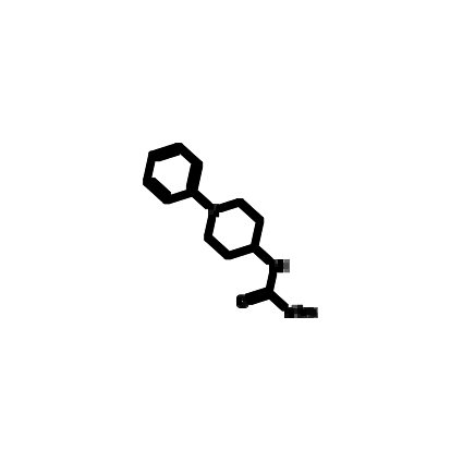 CCCCCCC(=O)NC1CCN(c2ccccc2)CC1